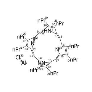 CCCC1=C(CCC)c2cc3[nH]c(cc4nc(cc5[nH]c(cc1n2)c(CCC)c5CCC)C(CCC)=C4CCC)c(CCC)c3CCC.[Al][Cl]